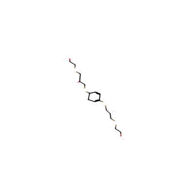 OCCSCC(O)CSC1C=CC(SC[C@@H](O)CSCCO)=CC1